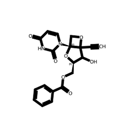 C#CC12OC[C@@]1(n1ccc(=O)[nH]c1=O)O[C@H](COC(=O)c1ccccc1)C2O